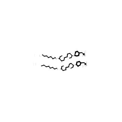 CCCCCCCCCO[C@H]1CC[C@H]([C@H]2CC[C@H](c3ccc(CC(F)(F)F)cc3)CC2)CC1.CCCCCCCCO[C@H]1CC[C@H]([C@H]2CC[C@H](c3ccc(CC(F)(F)F)cc3)CC2)CC1